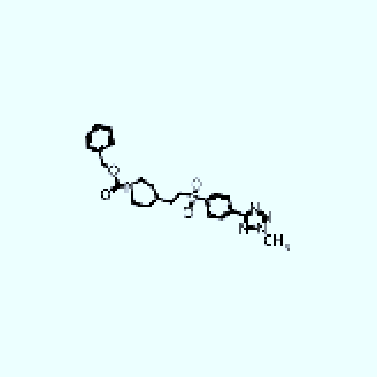 Cn1nnc(-c2ccc(S(=O)(=O)CCC3CCN(C(=O)OCc4ccccc4)CC3)cc2)n1